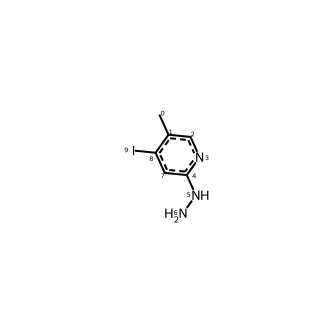 Cc1cnc(NN)cc1I